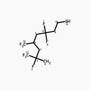 CC(F)(CC(CC(F)(F)CCS)C(F)(F)F)C(F)(F)F